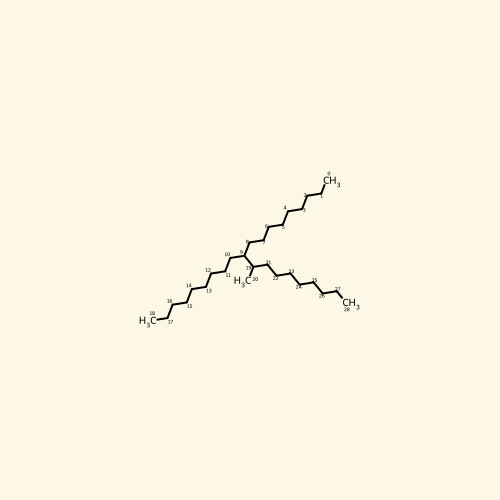 CCCCCCCCC[C](CCCCCCCCC)C(C)CCCCCCCC